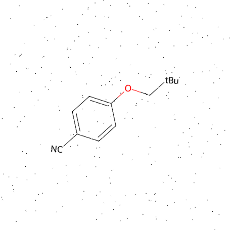 CC(C)(C)COc1ccc(C#N)cc1